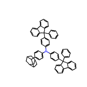 c1ccc(C2(c3ccc(N(c4ccc(C5C6CC7CC(C6)C5C7)cc4)c4ccc(C5(c6ccccc6)c6ccccc6-c6ccccc65)cc4)cc3)c3ccccc3-c3ccccc32)cc1